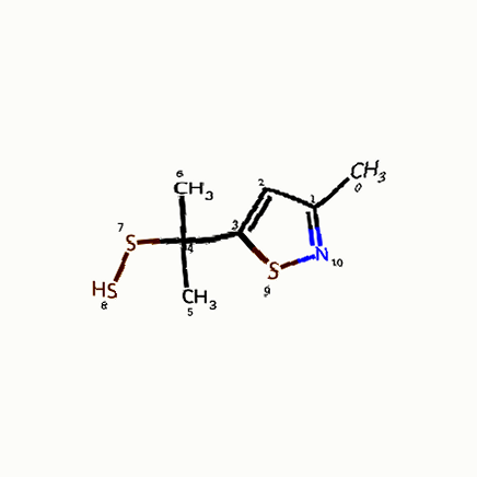 Cc1cc(C(C)(C)SS)sn1